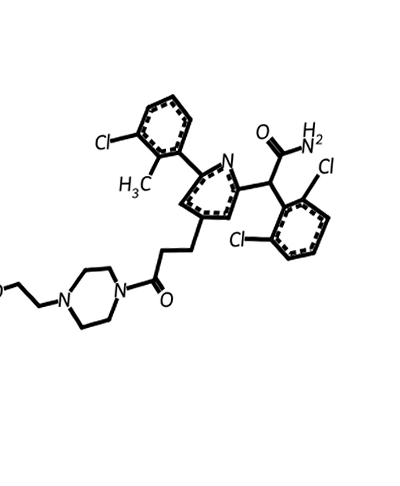 Cc1c(Cl)cccc1-c1cc(CCC(=O)N2CCN(CCO)CC2)cc(C(C(N)=O)c2c(Cl)cccc2Cl)n1